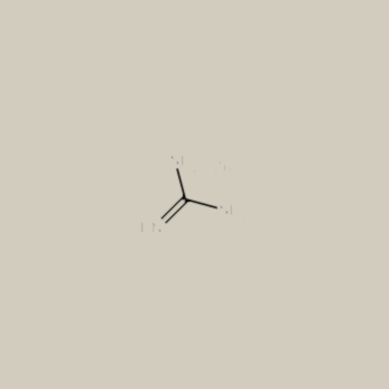 N=C(N)N.[Zn]